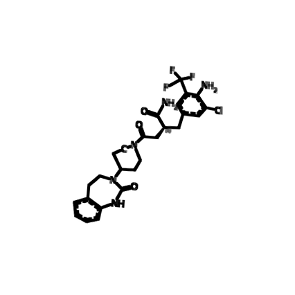 NC(=O)[C@H](CC(=O)N1CCC(N2CCc3ccccc3NC2=O)CC1)Cc1cc(Cl)c(N)c(C(F)(F)F)c1